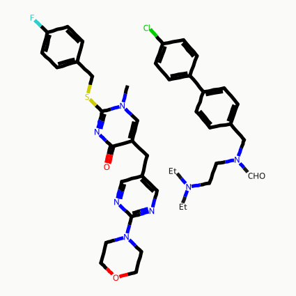 CCN(CC)CCN(C=O)Cc1ccc(-c2ccc(Cl)cc2)cc1.Cn1cc(Cc2cnc(N3CCOCC3)nc2)c(=O)nc1SCc1ccc(F)cc1